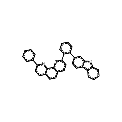 c1ccc(-c2ccc3ccc4ccc(-c5ccccc5-c5ccc6c(c5)oc5ccccc56)nc4c3n2)cc1